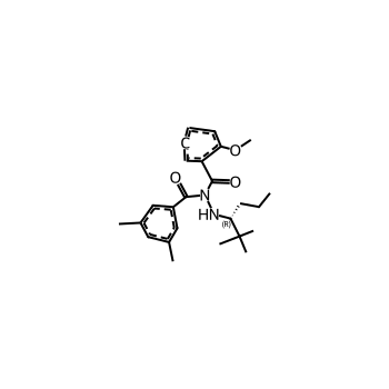 CCC[C@@H](NN(C(=O)c1cc(C)cc(C)c1)C(=O)c1ccccc1OC)C(C)(C)C